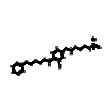 O=[PH](O)OCCCNCc1cc(Cl)c(NCCCCCc2ccccc2)cn1